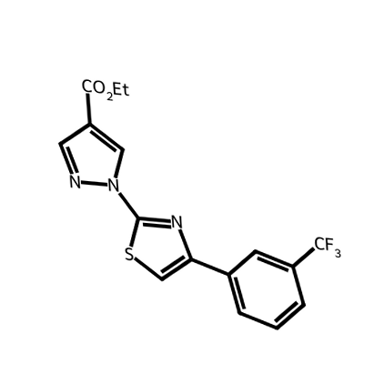 CCOC(=O)c1cnn(-c2nc(-c3cccc(C(F)(F)F)c3)cs2)c1